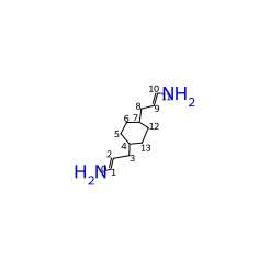 NC=CCC1CCC(CC=CN)CC1